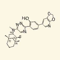 CN(c1cnc(-c2ccc(-c3cnc4c(c3)OCO4)cc2O)nn1)[C@@H]1C[C@@]2(C)CCC[C@](C)(C2)[C@@H]1F